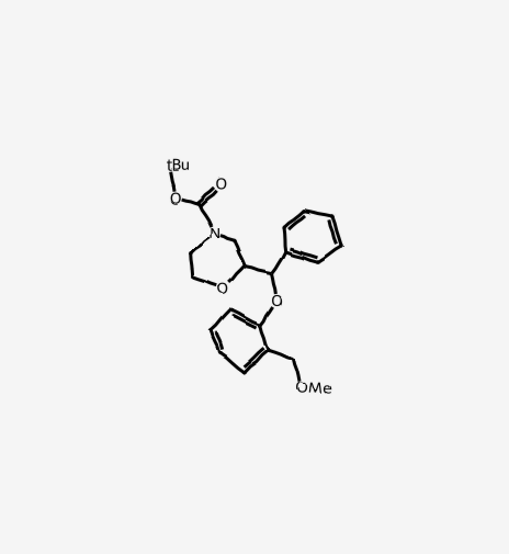 COCc1ccccc1OC(c1ccccc1)C1CN(C(=O)OC(C)(C)C)CCO1